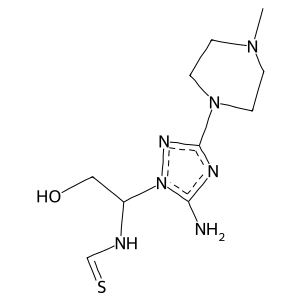 CN1CCN(c2nc(N)n(C(CO)NC=S)n2)CC1